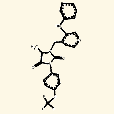 CC1C(=O)N(c2ccc(OC(F)(F)F)cc2)C(=O)N1Cc1ccncc1Nc1ccccc1